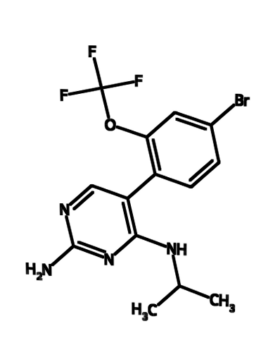 CC(C)Nc1nc(N)ncc1-c1ccc(Br)cc1OC(F)(F)F